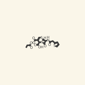 CCC(=O)OOC(=O)C1=CS[C@@H]2C(NC(=O)Cc3cccs3)C(=O)N2C1C(=O)O